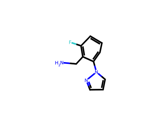 NCc1c(F)cccc1-n1cccn1